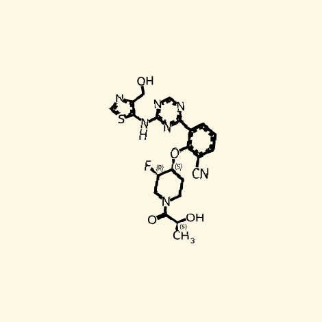 C[C@H](O)C(=O)N1CC[C@H](Oc2c(C#N)cccc2-c2ncnc(Nc3scnc3CO)n2)[C@H](F)C1